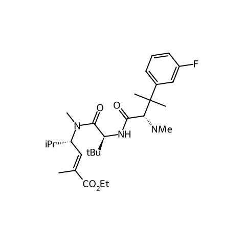 CCOC(=O)/C(C)=C/[C@H](C(C)C)N(C)C(=O)[C@@H](NC(=O)[C@@H](NC)C(C)(C)c1cccc(F)c1)C(C)(C)C